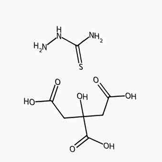 NNC(N)=S.O=C(O)CC(O)(CC(=O)O)C(=O)O